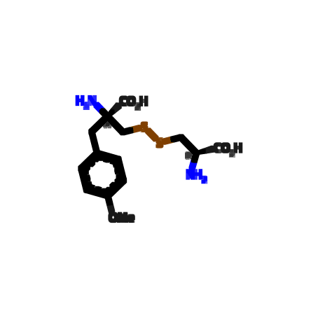 COc1ccc(C[C@](N)(CSSC[C@H](N)C(=O)O)C(=O)O)cc1